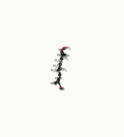 COc1cc(N=Nc2ccc(N=Nc3cc(C)c(N=Nc4c(S(=O)(=O)O)cc5cc(Nc6ccc(N)cc6)ccc5c4O)cc3C)cc2C)c(OC)cc1N=Nc1ccc(C(=O)Nc2ccc3c(OCCCCS(=O)(=O)O)cc(S(=O)(=O)O)cc3c2)cc1